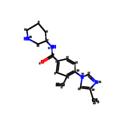 COc1cc(C(=O)NC2CCCNC2)ccc1-n1cnc(C)c1